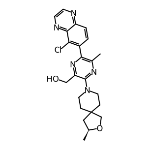 Cc1nc(N2CCC3(CC2)CO[C@@H](C)C3)c(CO)nc1-c1ccc2nccnc2c1Cl